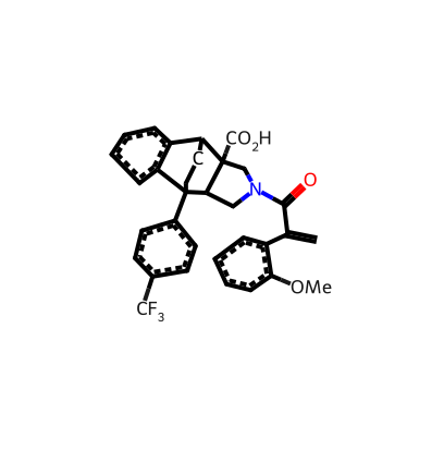 C=C(C(=O)N1CC2C3(c4ccc(C(F)(F)F)cc4)CCC(c4ccccc43)C2(C(=O)O)C1)c1ccccc1OC